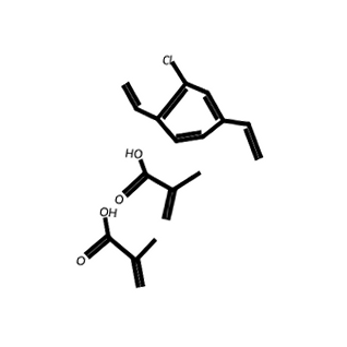 C=C(C)C(=O)O.C=C(C)C(=O)O.C=Cc1ccc(C=C)c(Cl)c1